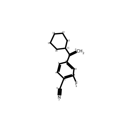 C=C(c1ccc(C#N)c(F)c1)C1CCCCC1